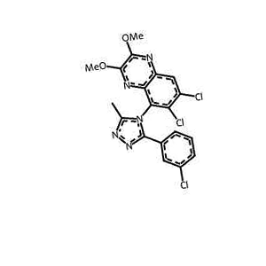 COc1nc2cc(Cl)c(Cl)c(-n3c(C)nnc3-c3cccc(Cl)c3)c2nc1OC